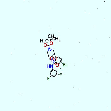 CC(C)(C)OC(=O)N1CC2CN(C(=O)Nc3cc(F)cc(F)c3)CC(C1)C2(O)c1ccc(Br)cc1